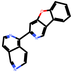 c1ccc2c(c1)oc1cc(-c3nccc4cnccc34)ncc12